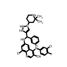 CC1(C)CC(N2C=C(C(Nc3cc(Cl)c4ncc(C#N)c(Nc5ccc(F)c(Cl)c5)c4c3)c3ccccc3)NN2)CCN1